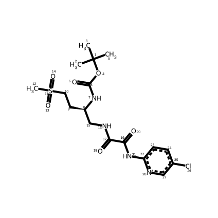 CC(C)(C)OC(=O)N[C@H](CCS(C)(=O)=O)CNC(=O)C(=O)Nc1ccc(Cl)cn1